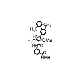 CNC(=O)c1cccc(NC(=O)c2c(C)[nH]c(-c3ccc(F)c(-c4c(C)cccc4C)c3)[n+]2OC)c1